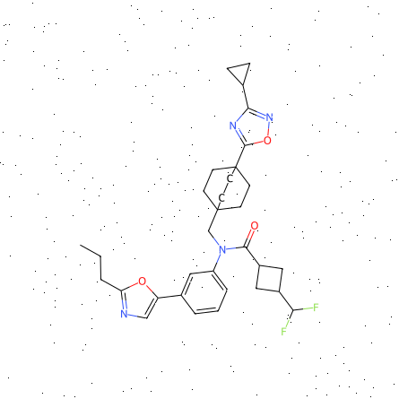 CCCc1ncc(-c2cccc(N(CC34CCC(c5nc(C6CC6)no5)(CC3)CC4)C(=O)C3CC(C(F)F)C3)c2)o1